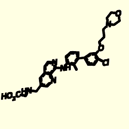 Cc1c(Nc2nccc3cc(CNCC(=O)O)cnc23)cccc1-c1ccc(Cl)c(OCCCN2CCOCC2)c1